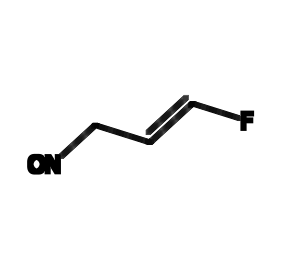 O=NCC=CF